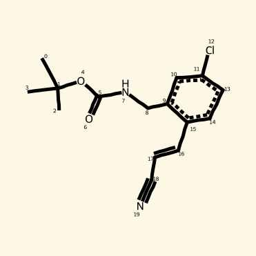 CC(C)(C)OC(=O)NCc1cc(Cl)ccc1/C=C/C#N